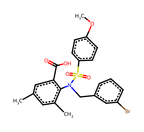 COc1ccc(S(=O)(=O)N(Cc2cccc(Br)c2)c2c(C)cc(C)cc2C(=O)O)cc1